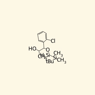 CC(O)C(O[SiH2][Si](C)(C)C(C)(C)C)c1ccccc1Cl